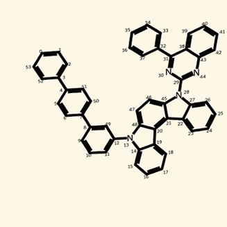 c1ccc(-c2ccc(-c3cccc(-n4c5ccccc5c5c6c7ccccc7n(-c7nc(-c8ccccc8)c8ccccc8n7)c6ccc54)c3)cc2)cc1